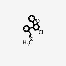 CO/C=C/c1ccccc1-c1cc(Cl)cc2oc3ccccc3c12